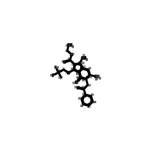 CCOC(=O)c1c(OCC(F)(F)F)c2c(=O)n(CC(=O)c3ccccc3)c(C)cc2n1C